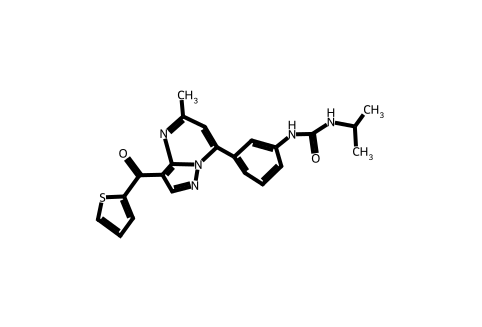 Cc1cc(-c2cccc(NC(=O)NC(C)C)c2)n2ncc(C(=O)c3cccs3)c2n1